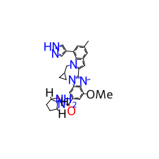 COc1cc(C(=O)N2C[C@H]3CC[C@@H]2[C@@H]3N)cc2nc(-c3cc4cc(C)cc(-c5cn[nH]c5)c4n3CC3CC3)n(C)c12